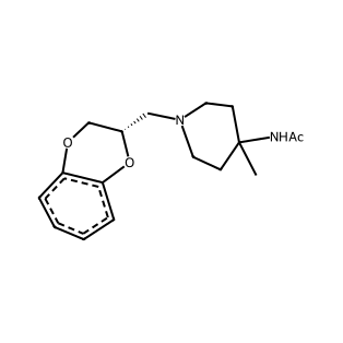 CC(=O)NC1(C)CCN(C[C@H]2COc3ccccc3O2)CC1